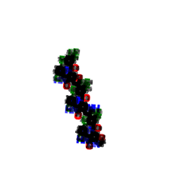 O=C(Nc1cc2c(c3c1C(c1cc(F)ccc1Cl)NC3=O)CC(c1c(F)cc(C(=O)Nc3cc4c(c5c3C(c3cc(F)ccc3Cl)NC5=O)NCCO4)cc1C(F)(F)F)CN2)c1cc(F)c(C2COc3cc(NC(=O)c4cc(F)cc(C(F)(F)F)c4)c4c(c3C2)C(=O)NC4c2cc(F)ccc2Cl)c(C(F)(F)F)c1